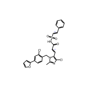 Cc1nc(Cl)c(/C=C/C(=O)NS(=O)(=O)/C=C/c2ccccc2)n1Cc1ccc(-c2ccco2)cc1Cl